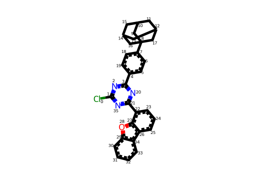 Clc1nc(-c2ccc(C34CC5CC(CC(C5)C3)C4)cc2)nc(-c2cccc3c2oc2ccccc23)n1